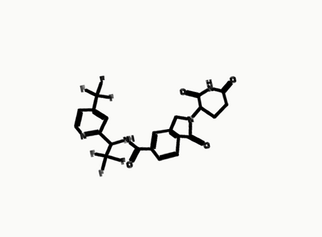 O=C1CCC(N2Cc3cc(C(=O)NC(c4cc(C(F)(F)F)ccn4)C(F)(F)F)ccc3C2=O)C(=O)N1